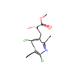 COC(=O)[C@@H](O)c1c(C)nc(Cl)c(C)c1Cl